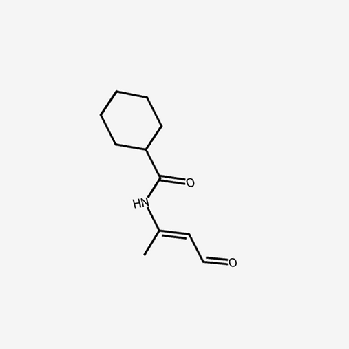 CC(=CC=O)NC(=O)C1CCCCC1